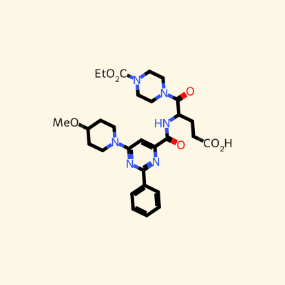 CCOC(=O)N1CCN(C(=O)C(CCC(=O)O)NC(=O)c2cc(N3CCC(OC)CC3)nc(-c3ccccc3)n2)CC1